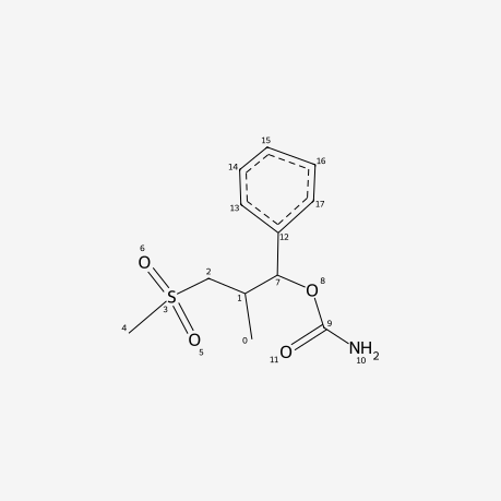 CC(CS(C)(=O)=O)C(OC(N)=O)c1ccccc1